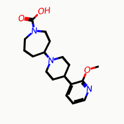 COc1ncccc1C1CCN(C2CCCN(C(=O)O)CC2)CC1